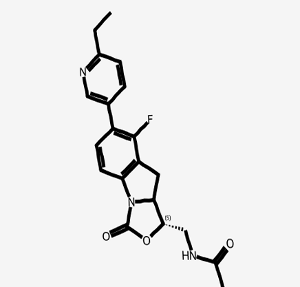 CCc1ccc(-c2ccc3c(c2F)CC2[C@H](CNC(C)=O)OC(=O)N32)cn1